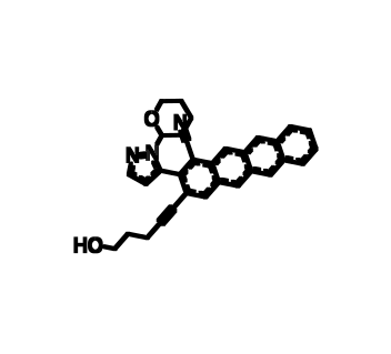 N#Cc1c(-c2ccnn2C2CCCCO2)c(C#CCCCO)cc2cc3cc4ccccc4cc3cc12